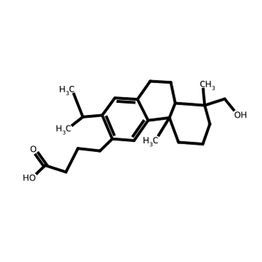 CC(C)c1cc2c(cc1CCCC(=O)O)C1(C)CCCC(C)(CO)C1CC2